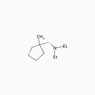 CCN(CC)CC1(C)CCCC1